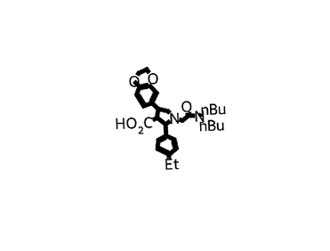 CCCCN(CCCC)C(=O)CN1CC(c2ccc3c(c2)OCCO3)C(C(=O)O)C1c1ccc(CC)cc1